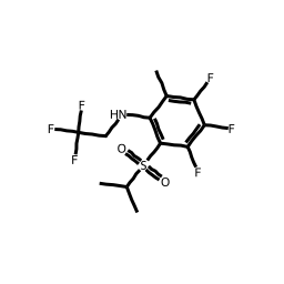 Cc1c(F)c(F)c(F)c(S(=O)(=O)C(C)C)c1NCC(F)(F)F